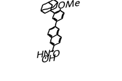 COc1ccc(-c2ccc3cc(C(=O)NO)ccc3c2)cc1C12CC3CC(CC(C3)C1)C2